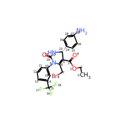 CCOC(=O)C1=C(CBr)N(c2cccc(C(F)(F)F)c2)C(=O)N[C@@H]1c1ccc(N)cc1